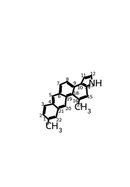 Cc1ccc2cc3ccc4c5cc[nH]c5cc(C)c4c3cc2c1